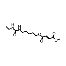 CCNC(=O)NCCCCCOC(=O)/C=C/C(=O)OC